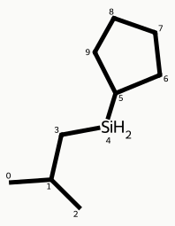 CC(C)C[SiH2]C1CCCC1